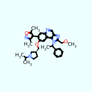 COCc1nc2cnc3cc(-c4c(C)noc4C)c(OC[C@H]4CCN(C(C)C)C4)cc3c2n1C(C)c1ccccc1